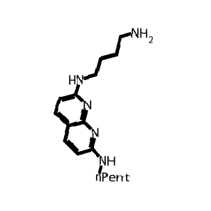 CCCCCNc1ccc2ccc(NCCCCN)nc2n1